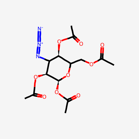 CC(=O)OCC1O[C@@H](OC(C)=O)[C@@H](OC(C)=O)C(N=[N+]=[N-])[C@H]1OC(C)=O